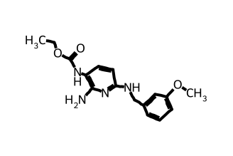 CCOC(=O)Nc1ccc(NCc2cccc(OC)c2)nc1N